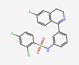 O=S(=O)(Nc1cccc(C2=NCCc3cc(F)ccc32)c1)c1ccc(F)cc1Cl